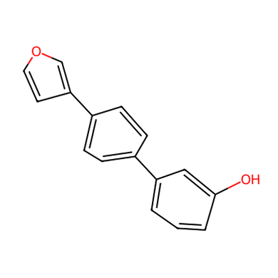 Oc1cccc(-c2ccc(-c3ccoc3)cc2)c1